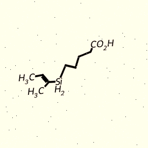 CC=C(C)[SiH2]CCCCC(=O)O